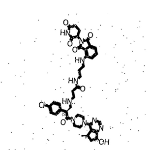 C[C@@H]1C[C@@H](O)c2ncnc(N3CCN(C(=O)[C@H](CNCCC(=O)NCCCNc4cccc5c4C(=O)N(C4CCC(=O)NC4=O)C5=O)c4ccc(Cl)cc4)CC3)c21